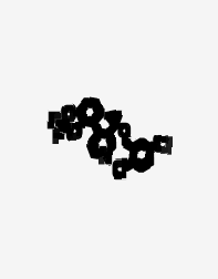 FC1(F)Oc2cccc(-c3ccncc3C3(OCc4cc(Cl)ccc4Cl)CC3)c2O1